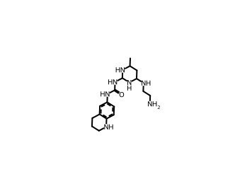 CC1CC(NCCN)NC(NC(=O)Nc2ccc3c(c2)CCCN3)N1